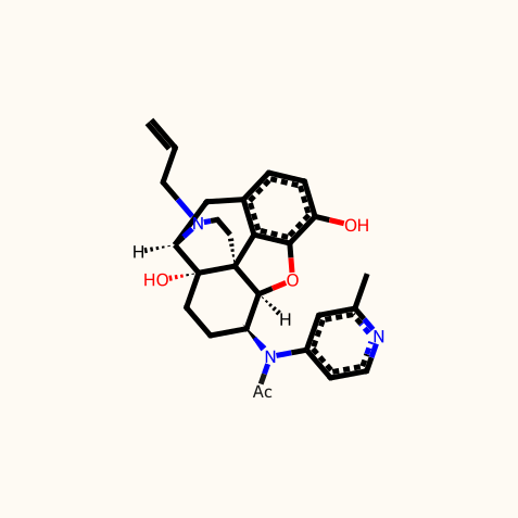 C=CCN1CC[C@]23c4c5ccc(O)c4O[C@H]2[C@@H](N(C(C)=O)c2ccnc(C)c2)CC[C@@]3(O)[C@H]1C5